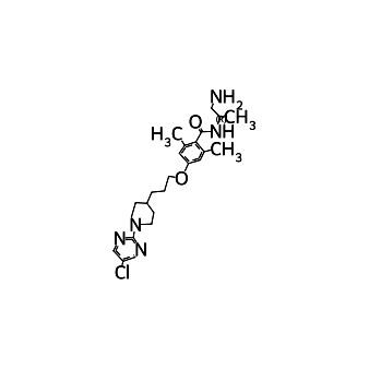 Cc1cc(OCCCC2CCN(c3ncc(Cl)cn3)CC2)cc(C)c1C(=O)N[C@H](C)CN